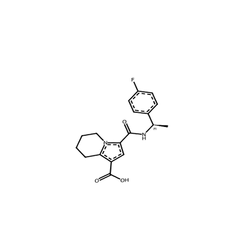 C[C@@H](NC(=O)c1cc(C(=O)O)c2n1CCCC2)c1ccc(F)cc1